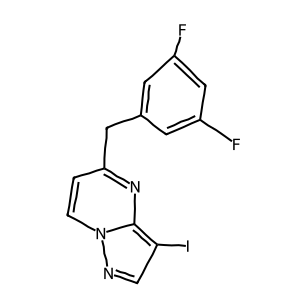 Fc1cc(F)cc(Cc2ccn3ncc(I)c3n2)c1